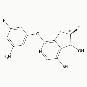 Nc1cc(F)cc(Oc2ncc(S)c3c2C[C@@H](F)C3O)c1